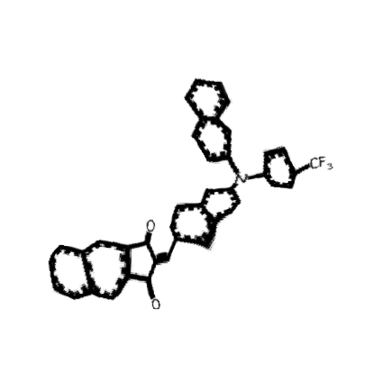 O=C1C(=Cc2ccc3cc(N(c4ccc(C(F)(F)F)cc4)c4ccc5ccccc5c4)ccc3c2)C(=O)c2cc3ccccc3cc21